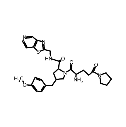 COc1ccc(CC2CC(C(=O)NCc3nc4cnccc4s3)N(C(=O)C(N)CCC(=O)N3CCCC3)C2)cc1